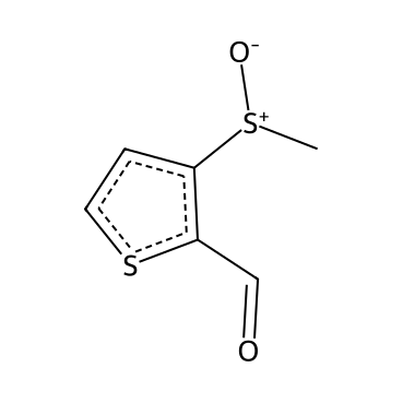 C[S+]([O-])c1ccsc1C=O